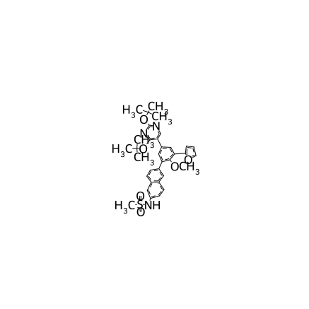 COc1c(-c2ccc3cc(NS(C)(=O)=O)ccc3c2)cc(-c2cnc(OC(C)(C)C)nc2OC(C)(C)C)cc1-c1ccco1